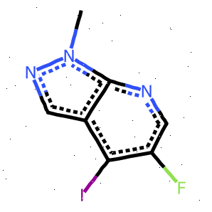 Cn1ncc2c(I)c(F)cnc21